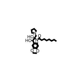 CCCCCCCC(=O)N[C@@](O)(CN1CCCC1)[C@H](O)c1ccc2c(c1)OCCO2